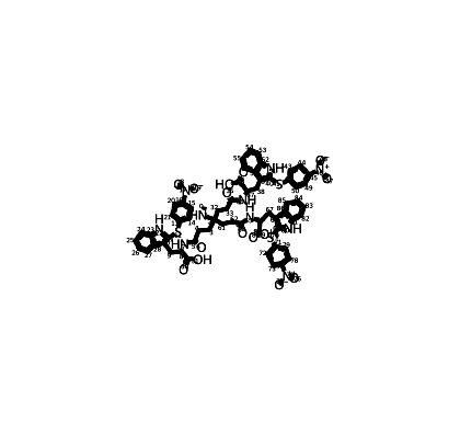 CNC(CCC(=O)NC(Cc1c(Sc2ccc([N+](=O)[O-])cc2)[nH]c2ccccc12)C(=O)O)(CCC(=O)NC(Cc1c(Sc2ccc([N+](=O)[O-])cc2)[nH]c2ccccc12)C(=O)O)CCC(=O)NC(Cc1c(Sc2ccc([N+](=O)[O-])cc2)[nH]c2ccccc12)C(=O)O